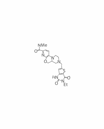 CCn1c(=O)[nH]c2cc(CN3CCN4c5ccc(C(=O)NC)nc5OCC4C3)sc2c1=O